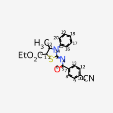 CCOC(=O)C1SC(=NC(=O)c2ccc(C#N)cc2)N(c2ccccc2)C1C